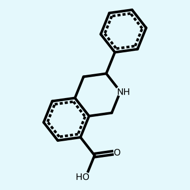 O=C(O)c1cccc2c1CNC(c1ccccc1)C2